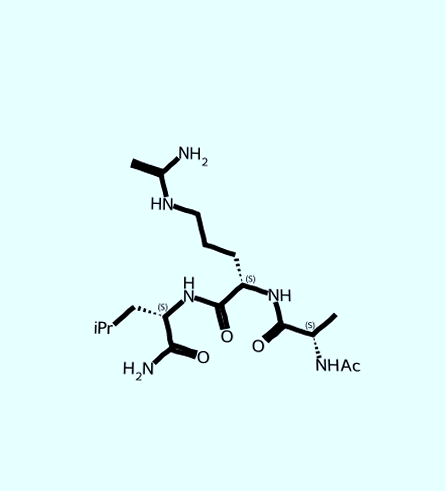 C=C(N)NCCC[C@H](NC(=O)[C@H](C)NC(C)=O)C(=O)N[C@@H](CC(C)C)C(N)=O